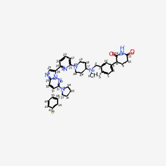 CN(Cc1cccc(C2CCC(=O)NC2=O)c1)C1CCN(c2cccc(-c3cnc4ccc(N5CCC[C@@H]5c5cccc(F)c5)nn34)n2)CC1